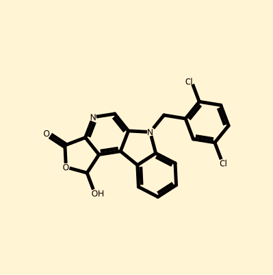 O=C1OC(O)c2c1ncc1c2c2ccccc2n1Cc1cc(Cl)ccc1Cl